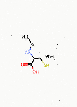 C[Se]NC(CS)C(=O)O.[PbH2]